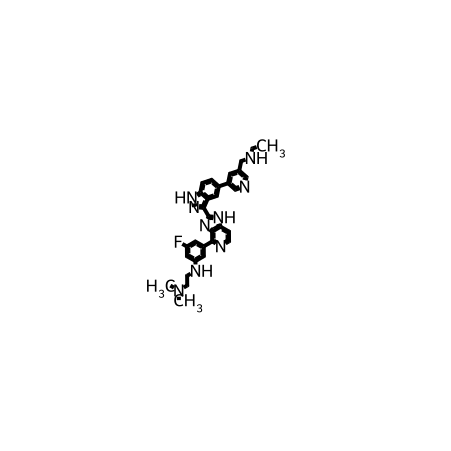 CCNCc1cncc(-c2ccc3[nH]nc(-c4nc5c(-c6cc(F)cc(NCCN(C)C)c6)nccc5[nH]4)c3c2)c1